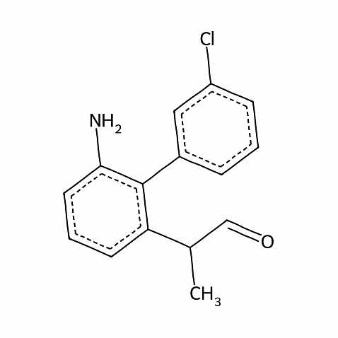 CC(C=O)c1cccc(N)c1-c1cccc(Cl)c1